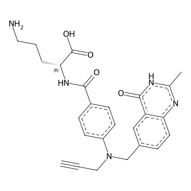 C#CCN(Cc1ccc2nc(C)[nH]c(=O)c2c1)c1ccc(C(=O)N[C@H](CCCN)C(=O)O)cc1